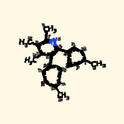 Cc1ccc(-c2nc(C)c(C)c(C)c2-c2ccc(C)cc2)cc1